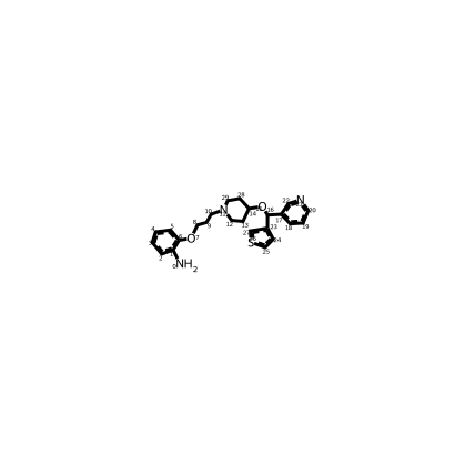 Nc1ccccc1OCCCN1CCC(OC(c2cccnc2)c2ccsc2)CC1